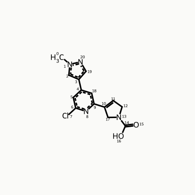 Cn1cc(-c2cc(Cl)nc(C3=CCN(C(=O)O)C3)c2)cn1